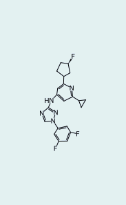 Fc1cc(F)cc(-n2cnc(Nc3cc(C4CC4)nc(C4CC[C@@H](F)C4)c3)n2)c1